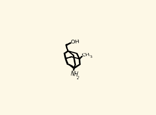 CC12CC3CC(N)(C1)CC(CO)(C3)C2